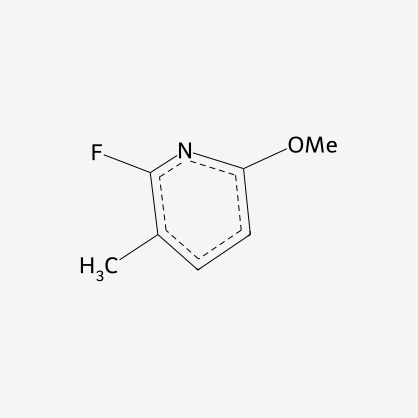 COc1ccc(C)c(F)n1